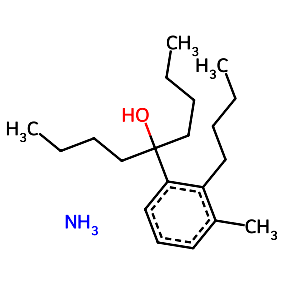 CCCCc1c(C)cccc1C(O)(CCCC)CCCC.N